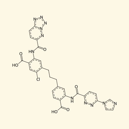 O=C(Nc1cc(CCCc2cc(NC(=O)c3ccc4nnnn4n3)c(C(=O)O)cc2Cl)ccc1C(=O)O)c1ccc(-n2ccnc2)nn1